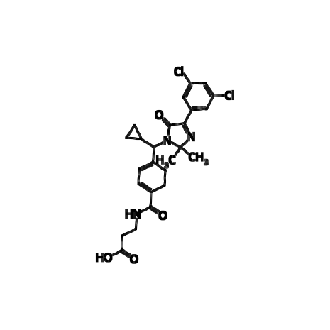 CC1(C)N=C(c2cc(Cl)cc(Cl)c2)C(=O)N1C(C1=CC=C(C(=O)NCCC(=O)O)CC1)C1CC1